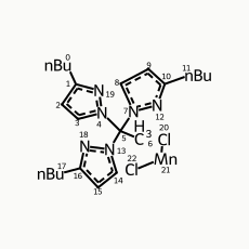 CCCCc1ccn(C(C)(n2ccc(CCCC)n2)n2ccc(CCCC)n2)n1.[Cl][Mn][Cl]